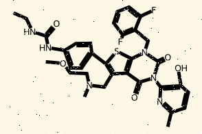 CCNC(=O)Nc1ccc(-c2sc3c(c2CN(C)CCOC)c(=O)n(-c2nc(C)ccc2O)c(=O)n3Cc2c(F)cccc2F)cc1